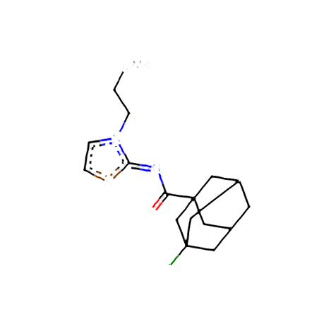 COCCn1ccsc1=NC(=O)C12CC3CC(CC(Cl)(C3)C1)C2